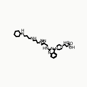 O=P(O)(O)CCN1CCN(c2nc(NCc3cn(CCCNCCCNC4CCCCC4)nn3)nc3ccccc23)CC1